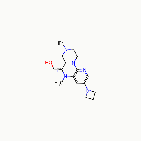 CC(C)N1CCN2c3ncc(N4CCC4)cc3N(C)/C(=C/O)C2C1